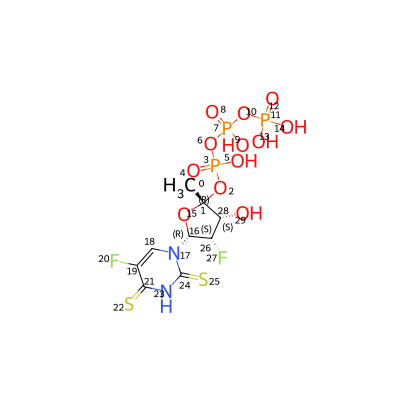 C[C@]1(OP(=O)(O)OP(=O)(O)OP(=O)(O)O)O[C@@H](n2cc(F)c(=S)[nH]c2=S)[C@@H](F)[C@H]1O